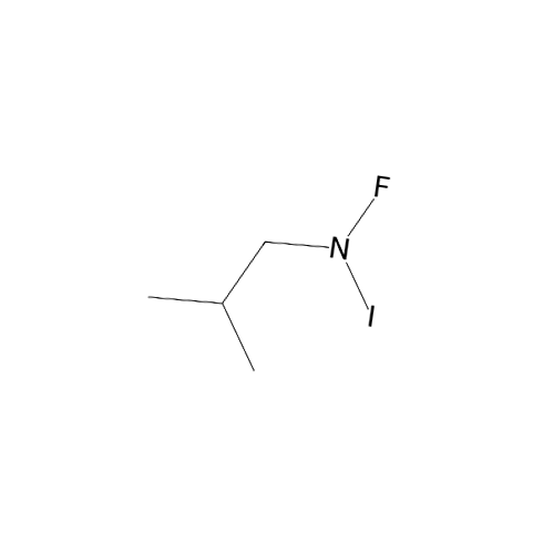 CC(C)CN(F)I